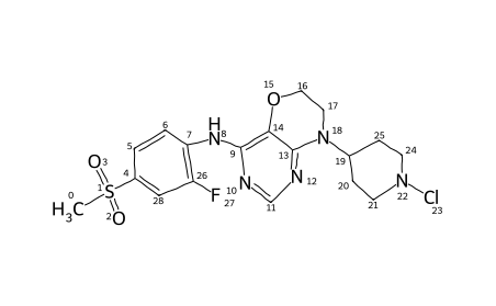 CS(=O)(=O)c1ccc(Nc2ncnc3c2OCCN3C2CCN(Cl)CC2)c(F)c1